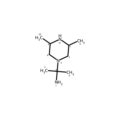 CC1CN(C(C)(C)N)CC(C)N1